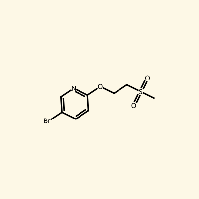 CS(=O)(=O)CCOc1ccc(Br)cn1